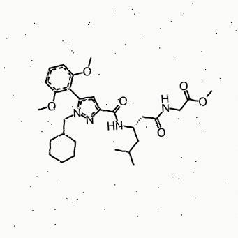 COC(=O)CNC(=O)C[C@H](CC(C)C)NC(=O)c1cc(-c2c(OC)cccc2OC)n(CC2CCCCC2)n1